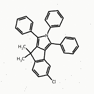 CC1(C)c2ccc(Cl)cc2-c2c1c(-c1ccccc1)n(-c1ccccc1)c2-c1ccccc1